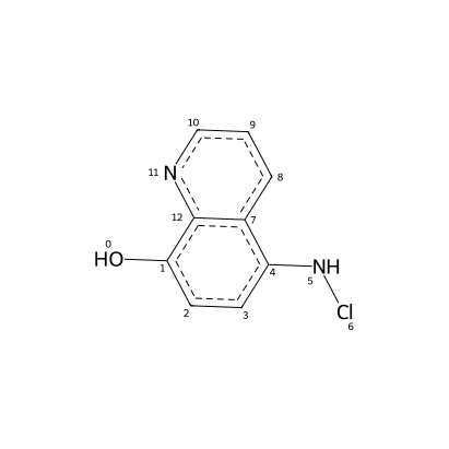 Oc1ccc(NCl)c2cccnc12